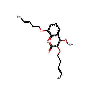 CC/C=C/CCOc1c(OCCCCCCCCCC)c2cccc(OCC/C=C/CC)c2oc1=O